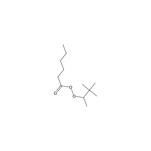 CCCCCC(=O)OOC(C)C(C)(C)C